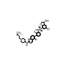 COCCN1CCC(Nc2ncc3c(F)c(-c4cccc(NS(=O)(=O)c5cc(Cl)cc6c5OCC6O)c4F)ccc3n2)CC1